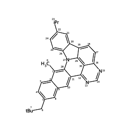 Cc1c2ccc(CC(C)(C)C)cc2cc2c3ncnc4ccc5c6cc(C(C)C)ccc6n(c12)c5c43